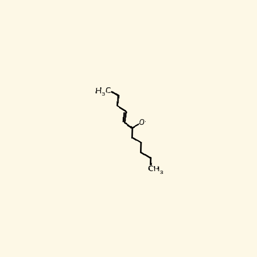 CCC/C=C/C([O])CCCCC